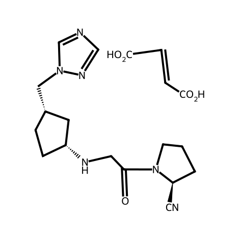 N#C[C@@H]1CCCN1C(=O)CN[C@@H]1CC[C@H](Cn2cncn2)C1.O=C(O)C=CC(=O)O